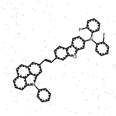 Fc1ccccc1N(c1ccc2c(c1)oc1cc(/C=C/c3cc4ccc5cccc6c5c4c(c3)n6-c3ccccc3)ccc12)c1ccccc1F